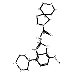 COc1ccc(N2CCOCC2)c2nc(NC(=O)N3CCC4(CCOCC4)C3)[nH]c12